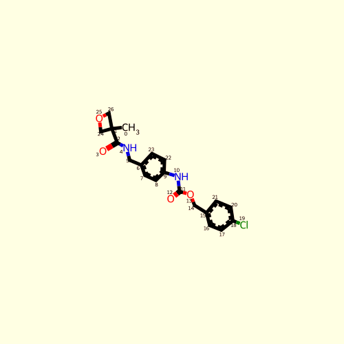 CC1(C(=O)NCc2ccc(NC(=O)OCc3ccc(Cl)cc3)cc2)COC1